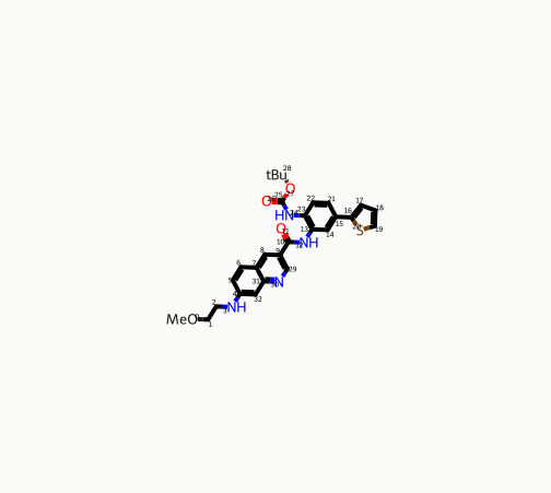 COCCNc1ccc2cc(C(=O)Nc3cc(-c4cccs4)ccc3NC(=O)OC(C)(C)C)cnc2c1